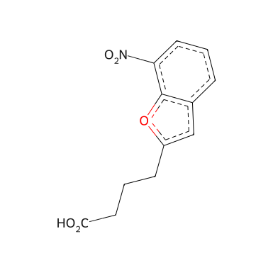 O=C(O)CCCc1cc2cccc([N+](=O)[O-])c2o1